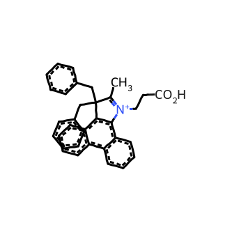 CC1=[N+](CCC(=O)O)c2c(c3ccccc3c3ccccc23)C1(Cc1ccccc1)Cc1ccccc1